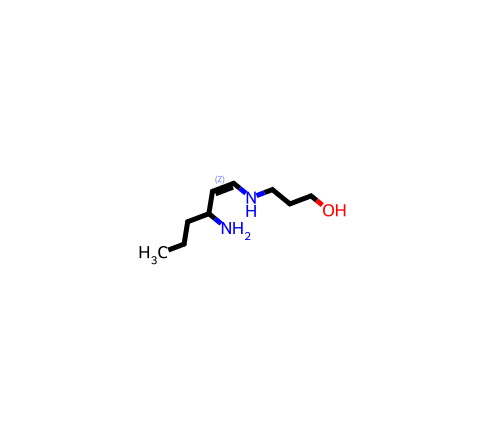 CCCC(N)/C=C\NCCCO